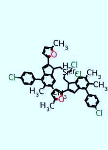 Cc1ccc(C2=Cc3c(cc(C)c(C)c3-c3ccc(Cl)cc3)C2C[SiH](CC2C(c3ccc(C)o3)=Cc3c2cc(C)c(C)c3-c2ccc(Cl)cc2)[Zr]([Cl])[Cl])o1